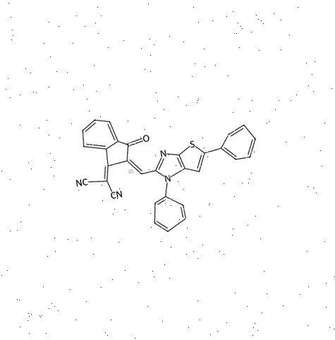 N#CC(C#N)=C1/C(=C/c2nc3sc(-c4ccccc4)cc3n2-c2ccccc2)C(=O)c2ccccc21